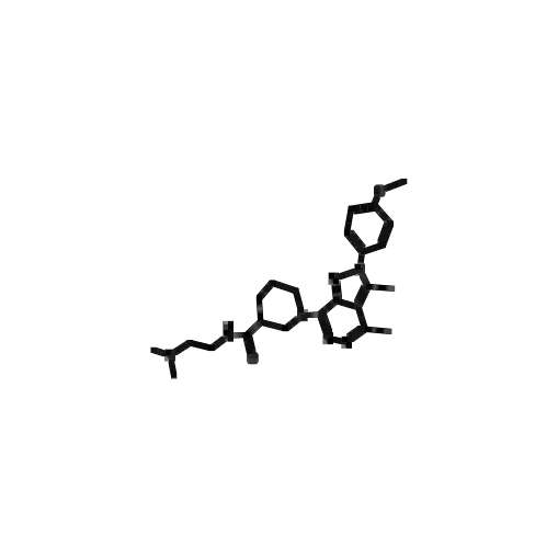 COc1ccc(-n2nc3c(N4CCCC(C(=O)NCCN(C)C)C4)nnc(C)c3c2C)cc1